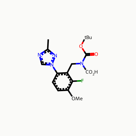 COc1ccc(-n2cnc(C)n2)c(CN(C(=O)O)C(=O)OC(C)(C)C)c1F